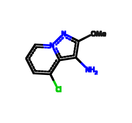 COc1nn2cccc(Cl)c2c1N